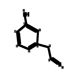 S=CCc1cccc(S)c1